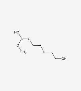 COB(O)OCCOCCO